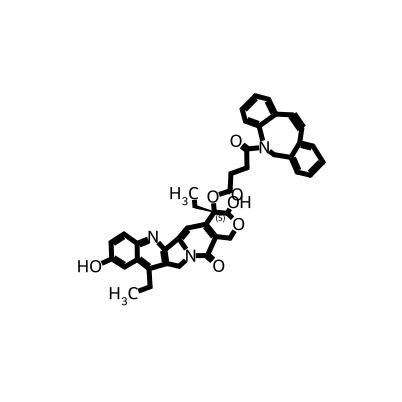 CCc1c2c(nc3ccc(O)cc13)-c1cc3c(c(=O)n1C2)COC(O)[C@@]3(CC)OC(=O)CCC(=O)N1Cc2ccccc2C#Cc2ccccc21